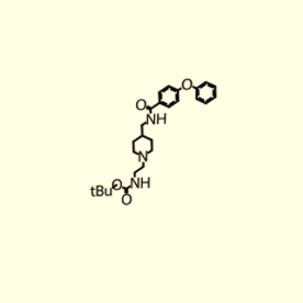 CC(C)(C)OC(=O)NCCN1CCC(CNC(=O)c2ccc(Oc3ccccc3)cc2)CC1